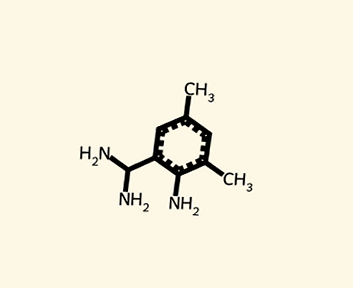 Cc1cc(C)c(N)c(C(N)N)c1